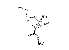 CC(=O)SC[C@@H](CNC(=O)OC(C)(C)C)O[Si](C)(C)C(C)(C)C